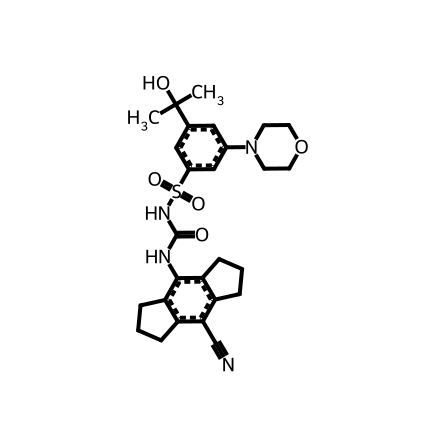 CC(C)(O)c1cc(N2CCOCC2)cc(S(=O)(=O)NC(=O)Nc2c3c(c(C#N)c4c2CCC4)CCC3)c1